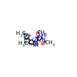 COc1nc(NC(C)=O)cc(-n2ncc3cc(C)c([C@@H]4CCN(C)C[C@@H]4F)cc32)n1